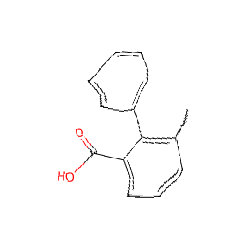 Cc1cccc(C(=O)O)c1-c1ccccc1